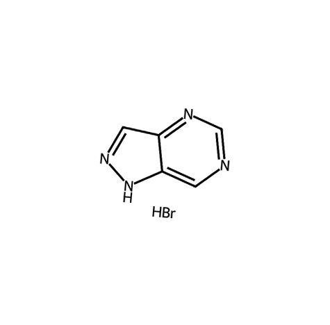 Br.c1ncc2[nH]ncc2n1